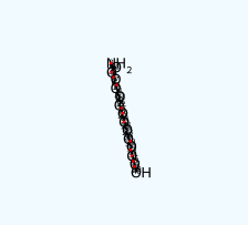 NCC(=O)OCCOCCOCCOCCOCCOCCOCCOCCOCCOCCOCCOCCO